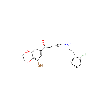 CN(CCCCC(=O)c1cc(S)c2c(c1)OCCO2)CCc1ccccc1Cl